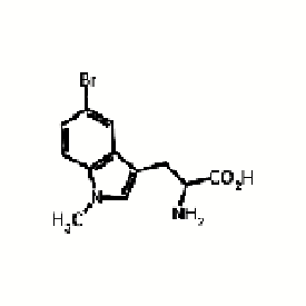 Cn1cc(CC(N)C(=O)O)c2cc(Br)ccc21